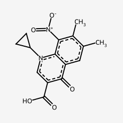 Cc1cc2c(=O)c(C(=O)O)cn(C3CC3)c2c([N+](=O)[O-])c1C